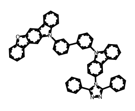 c1ccc(-c2nnc(-c3ccccc3)n2-c2ccc3c(c2)c2ccccc2n3-c2cccc(-c3cccc(-n4c5ccccc5c5cc6oc7ccccc7c6cc54)c3)c2)cc1